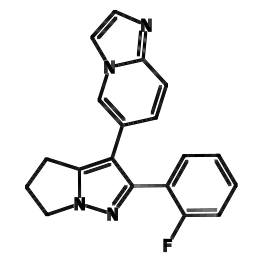 Fc1ccccc1-c1nn2c(c1-c1ccc3nccn3c1)CCC2